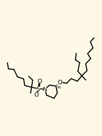 CCCCCCCC(C)(CCCC)CCCO[C@@H]1CCCN(S(=O)(=O)C(C)(CC)CCCCCC)C1